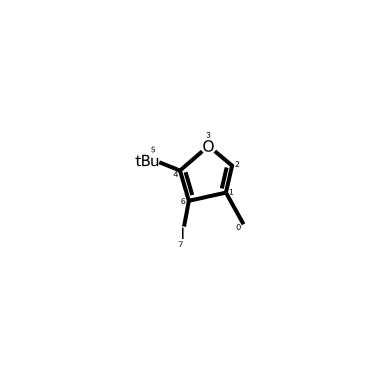 Cc1coc(C(C)(C)C)c1I